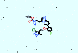 Cc1c(CCOc2cc(F)ccc2-c2ccc3ncc(CCNC(=O)OC(C)(C)C)n3c2)c(Cl)nn1C